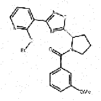 CCOc1ncccc1-c1noc([C@@H]2CCCN2C(=O)c2cccc(OC)c2)n1